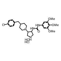 COc1cc(NC(=O)NC2CNCC2N2CCC(Cc3ccc(Cl)cc3)CC2)cc(OC)c1OC.Cl.Cl